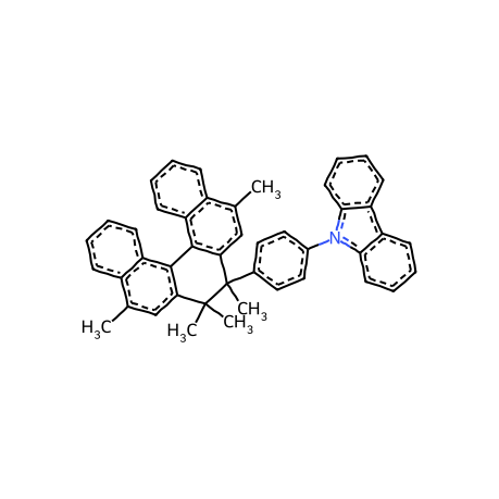 Cc1cc2c(c3ccccc13)-c1c(cc(C)c3ccccc13)C(C)(c1ccc(-n3c4ccccc4c4ccccc43)cc1)C2(C)C